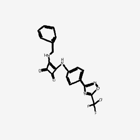 O=c1c(NCc2ccccc2)c(Nc2ccc(-c3noc(C(F)(F)Cl)n3)cc2)c1=O